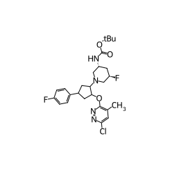 Cc1cc(Cl)nnc1OC1CC(c2ccc(F)cc2)CC1N1C[C@H](F)C[C@@H](NC(=O)OC(C)(C)C)C1